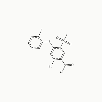 CCc1cc(Sc2ccccc2F)c(S(C)(=O)=O)cc1C(=O)Cl